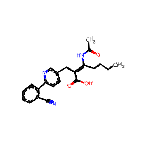 CCCC/C(NC(C)=O)=C(/Cc1ccc(-c2ccccc2C#N)nc1)C(=O)O